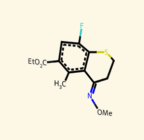 CCOC(=O)c1cc(F)c2c(c1C)C(=NOC)CCS2